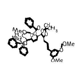 COCOc1cc(/C=C/C[C@@H]2OC(C)(C)O[C@@H]2C(/C=C\[C@@H](OCOC)[C@H](C)O[Si](c2ccccc2)(c2ccccc2)C(C)(C)C)OC(=O)c2ccccc2)cc(OC)c1